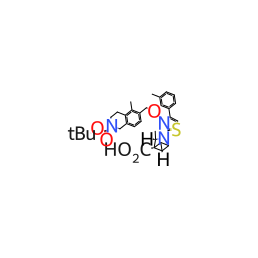 Cc1cccc(-c2csc(N3C4C5[C@H]4[C@]5(C(=O)O)[C@@H]3C)n2)c1OCc1ccc2c(c1C)CCN(C(=O)OC(C)(C)C)C2